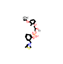 CCCCCCCCCCCCOc1cccc(OCC(COP(=O)(O)Oc2ccccc2C[n+]2csc(C)c2)OCC)c1C